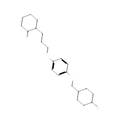 CCC1CCC(COc2ccc(OCCCC3CCCCC3C)cc2)CC1